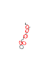 CCCOC(C)COCCOCCCC(=O)OC1CCCCC1